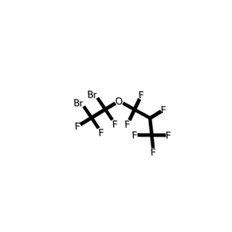 FC(C(F)(F)F)C(F)(F)OC(F)(Br)C(F)(F)Br